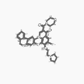 O=C(c1cn2c3c(c(NCCN4CCCC4)c(F)cc3c1=O)Oc1cc3c(cc1-2)-c1ccccc1CO3)N1CCOCC1